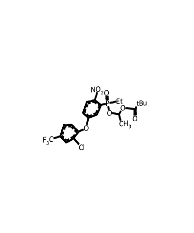 CCP(=O)(OC(C)OC(=O)C(C)(C)C)c1cc(Oc2ccc(C(F)(F)F)cc2Cl)ccc1[N+](=O)[O-]